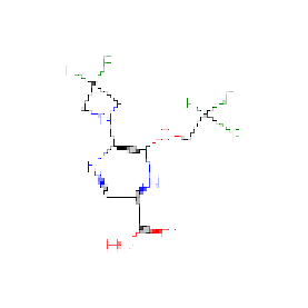 O=C(O)c1cnc(N2CC(F)(F)C2)c(OCC(F)(F)F)n1